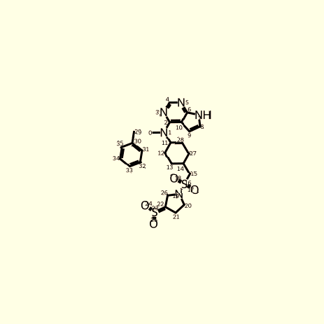 CN(c1ncnc2[nH]ccc12)C1CCC(CS(=O)(=O)N2CCC(=S(=O)=O)C2)CC1.Cc1ccccc1